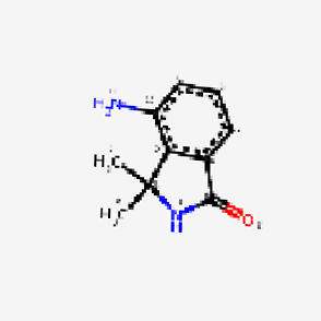 CC1(C)NC(=O)c2cccc(N)c21